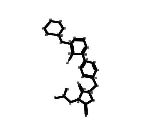 CC(C)CN1C(=O)CN(Cc2ccc(-c3cccc(CN4CCCCC4)c3F)cc2)C1=O